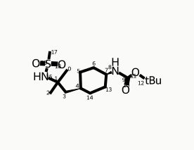 CC(C)(C[C@H]1CC[C@@H](NC(=O)OC(C)(C)C)CC1)NS(C)(=O)=O